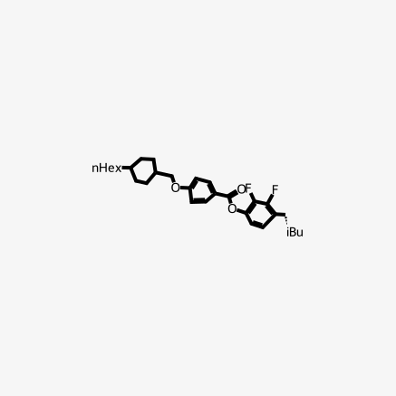 CCCCCCC1CCC(COc2ccc(C(=O)Oc3ccc(C[C@@H](C)CC)c(F)c3F)cc2)CC1